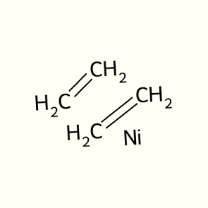 C=C.C=C.[Ni]